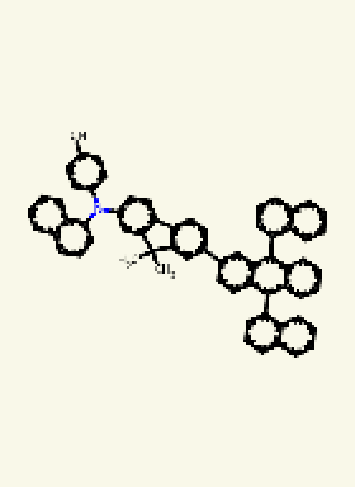 CC1(C)c2cc(-c3ccc4c(-c5cccc6ccccc56)c5ccccc5c(-c5cccc6ccccc56)c4c3)ccc2-c2ccc(N(c3ccc(C#N)cc3)c3cccc4ccccc34)cc21